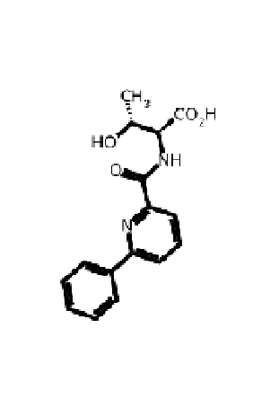 C[C@@H](O)[C@H](NC(=O)c1cccc(-c2ccccc2)n1)C(=O)O